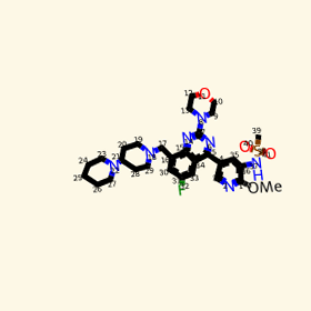 COc1ncc(-c2nc(N3CCOCC3)nc3c(CN4CCC(N5CCCCC5)CC4)cc(F)cc23)cc1NS(C)(=O)=O